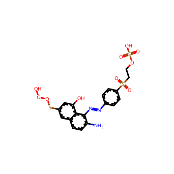 Nc1ccc2cc(SOOO)cc(O)c2c1/N=N/c1ccc(S(=O)(=O)CCOS(=O)(=O)O)cc1